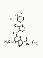 CNc1cc(Nc2cccn(C3CCC[C@](C)(OC)C3)c2=O)nc2c(C(=O)N[C@@H]3C[C@@H]3F)cnn12